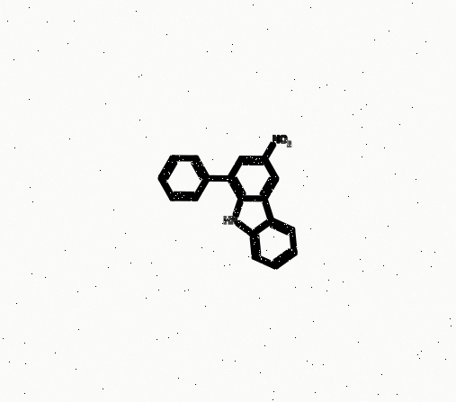 O=[N+]([O-])c1cc(-c2ccccc2)c2[nH]c3ccccc3c2c1